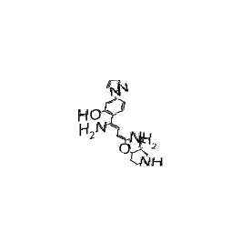 N/C(=C\C=C(/N)OC1CCNCC1F)c1ccc(-n2cccn2)cc1O